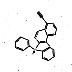 C#Cc1cccc2c(C)c(P(=O)(c3ccccc3)c3ccccc3)ccc12